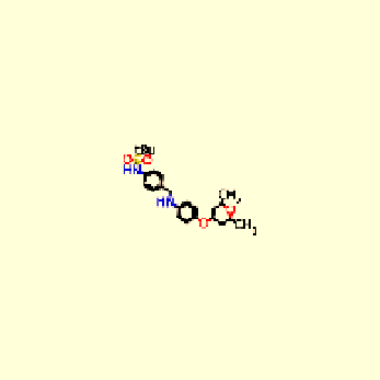 CC1CC(Oc2ccc(NCc3ccc(NS(=O)(=O)C(C)(C)C)cc3)cc2)CC(C)O1